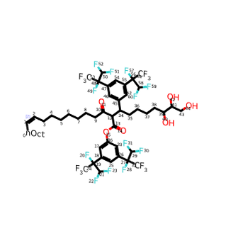 CCCCCCCC/C=C\CCCCCCCC(=O)C(C(=O)Oc1cc(C(F)(C(F)F)C(F)(F)F)cc(C(F)(C(F)F)C(F)(F)F)c1)C(CCCCC(O)C(O)CO)c1cc(C(F)(C(F)F)C(F)(F)F)cc(C(F)(C(F)F)C(F)(F)F)c1